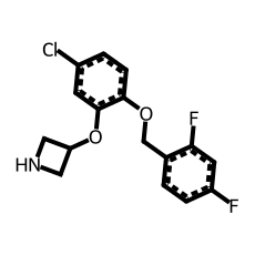 Fc1ccc(COc2ccc(Cl)cc2OC2CNC2)c(F)c1